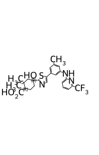 Cc1cc(Nc2cccc(C(F)(F)F)n2)cc(-c2cnc([C@@]3(O)CC[C@@H](C(=O)O)C(C)(C)C3)s2)c1